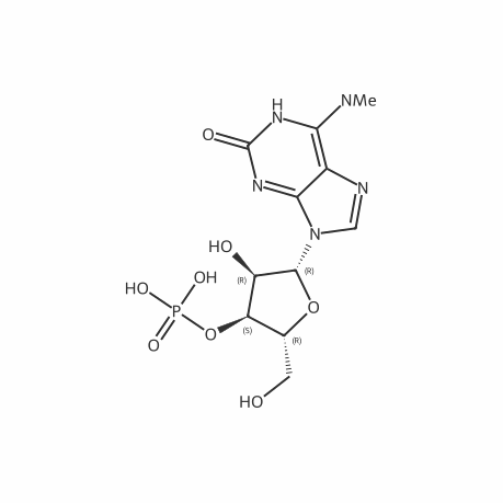 CNc1[nH]c(=O)nc2c1ncn2[C@@H]1O[C@H](CO)[C@@H](OP(=O)(O)O)[C@H]1O